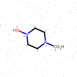 O=C(O)N1CCN(O)CC1